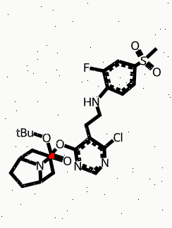 CC(C)(C)OC(=O)N1C2CCC1CC(Oc1ncnc(Cl)c1CCNc1ccc(S(C)(=O)=O)cc1F)C2